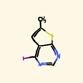 Cc1cc2c(I)ncnc2s1